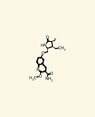 CC[C@@H]1[C@H](F)C(=O)N[C@@H]1COc1ccc2nc(OC)c(C(N)=O)cc2c1